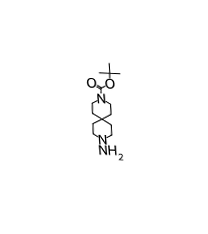 CC(C)(C)OC(=O)N1CCC2(CCN(N)CC2)CC1